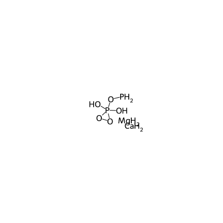 OP1(O)(OP)OO1.[CaH2].[MgH2]